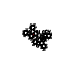 CC1(C)c2ccccc2-c2ccc(N(c3ccc(C4CC=CC=C4n4c5ccccc5c5ccccc54)cc3)c3cccc4oc5c6ccccc6c6ccccc6c5c34)cc21